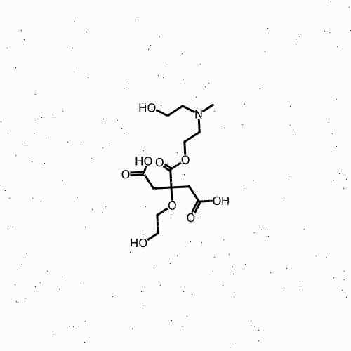 CN(CCO)CCOC(=O)C(CC(=O)O)(CC(=O)O)OCCO